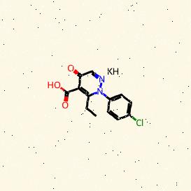 CCc1c(C(=O)O)c(=O)cnn1-c1ccc(Cl)cc1.[KH]